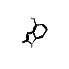 Oc1cccc2[nH]c(I)cc12